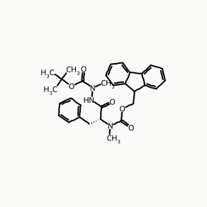 CN(NC(=O)[C@@H](Cc1ccccc1)N(C)C(=O)OCC1c2ccccc2-c2ccccc21)C(=O)OC(C)(C)C